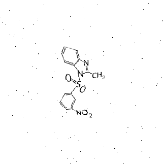 Cc1nc2ccccc2n1S(=O)(=O)c1cccc([N+](=O)[O-])c1